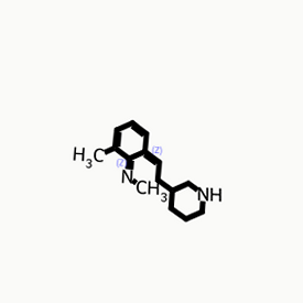 C/N=C1/C(C)=CC=C/C1=C/CC1CCCNC1